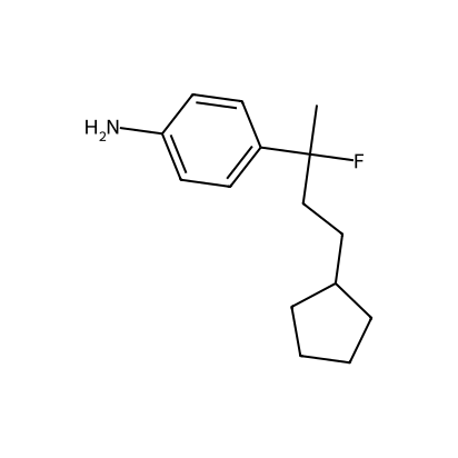 CC(F)(CCC1CCCC1)c1ccc(N)cc1